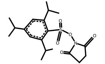 CC(C)c1cc(C(C)C)c(S(=O)(=O)ON2C(=O)CCC2=O)c(C(C)C)c1